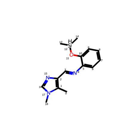 Cc1c(C=Nc2ccccc2O[SiH](C)C)ncn1C